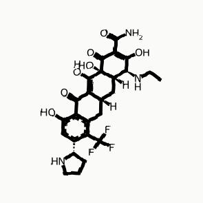 CCN[C@@H]1C(O)=C(C(N)=O)C(=O)[C@@]2(O)C(O)=C3C(=O)c4c(O)cc([C@@H]5CCCN5)c(C(F)(F)F)c4C[C@H]3C[C@@H]12